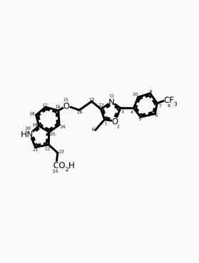 Cc1oc(-c2ccc(C(F)(F)F)cc2)nc1CCOc1ccc2[nH]cc(CC(=O)O)c2c1